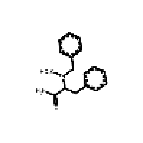 NC(=O)C(Cc1ccccc1)N(Cc1ccccc1)C(=O)O